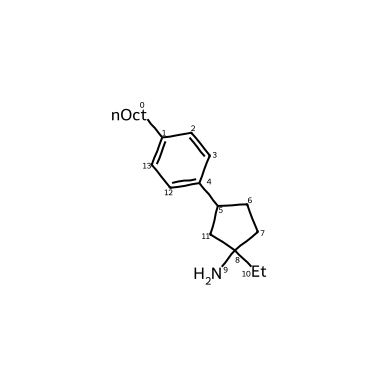 CCCCCCCCc1ccc(C2CCC(N)(CC)C2)cc1